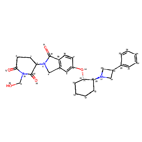 O=C1CCC(N2Cc3cc(O[C@H]4CCCC[C@@H]4N4CC(c5ccccc5)C4)ccc3C2=O)C(=O)N1CO